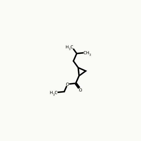 CCOC(=O)C1CC1CC(C)C